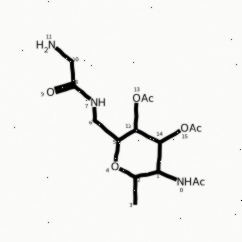 CC(=O)NC1C(C)OC(CNC(=O)CN)C(OC(C)=O)C1OC(C)=O